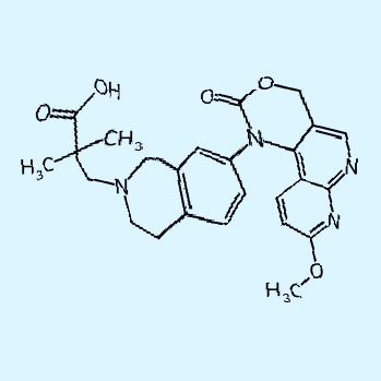 COc1ccc2c3c(cnc2n1)COC(=O)N3c1ccc2c(c1)CN(CC(C)(C)C(=O)O)CC2